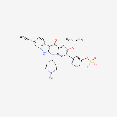 C#Cc1ccc2c(c1)[nH]c1c2c(=O)c2cc(OC(C)C)c(-c3cncc(OS(=O)(=O)F)c3)cc2n1C1CCN(C)CC1